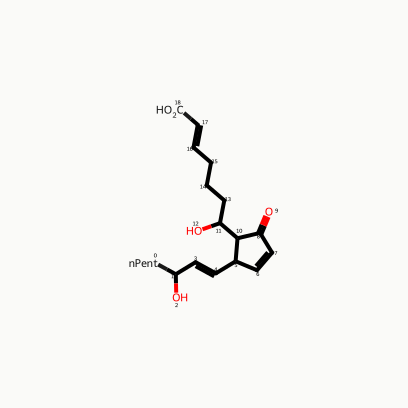 CCCCCC(O)C=CC1C=CC(=O)C1C(O)CCCC=CC(=O)O